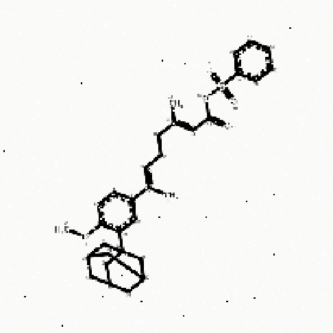 COc1ccc(C(C)=CCCC(C)=CC(=O)OS(=O)(=O)c2ccccc2)cc1C12CC3CC(CC(C3)C1)C2